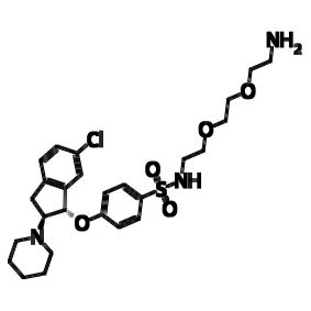 NCCOCCOCCNS(=O)(=O)c1ccc(O[C@H]2c3cc(Cl)ccc3C[C@@H]2N2CCCCC2)cc1